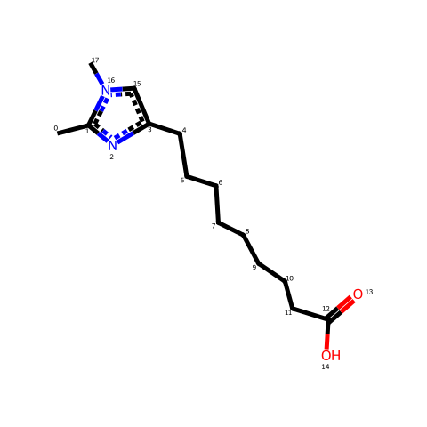 Cc1nc(CCCCCCCCC(=O)O)cn1C